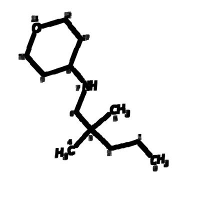 CCCC(C)(C)CNC1CCOCC1